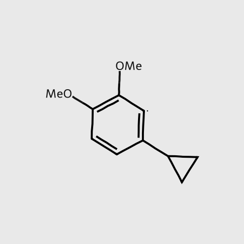 COc1[c]c(C2CC2)ccc1OC